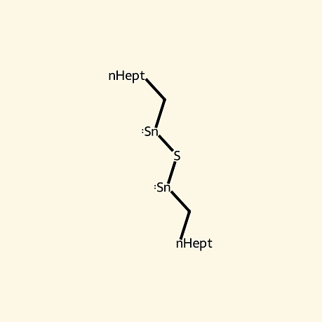 CCCCCCC[CH2][Sn][S][Sn][CH2]CCCCCCC